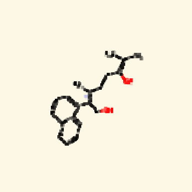 CC(C)=C(O)CC/C(C)=C(\CO)c1cccc2ccccc12